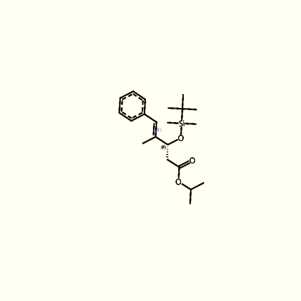 C/C(=C\c1ccccc1)[C@@H](CC(=O)OC(C)C)O[Si](C)(C)C(C)(C)C